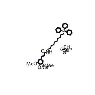 COc1cc(/C=C/C(=O)NCCCCCCCCCC[P+](c2ccccc2)(c2ccccc2)c2ccccc2)cc(OC)c1OC.CS(=O)(=O)[O-]